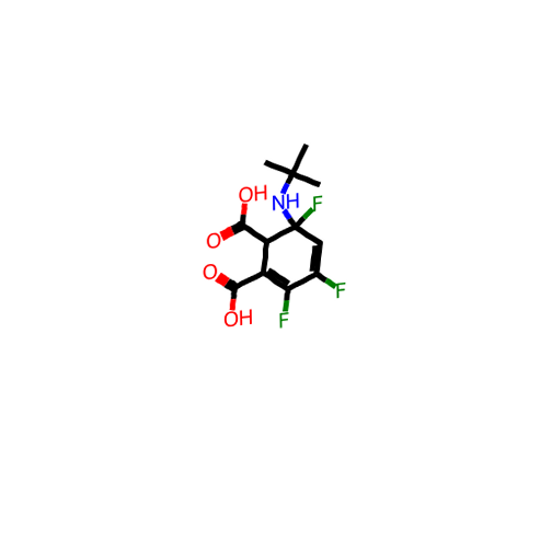 CC(C)(C)NC1(F)C=C(F)C(F)=C(C(=O)O)C1C(=O)O